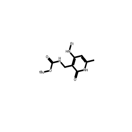 CCNc1cc(C)[nH]c(=O)c1CNC(=O)OC(C)(C)C